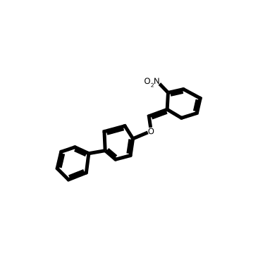 O=[N+]([O-])C1=CC=CCC1=COc1ccc(-c2ccccc2)cc1